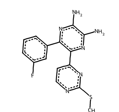 CSc1nccc(-c2nc(N)c(N)nc2-c2cccc(F)c2)n1